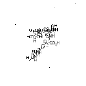 CNC(=O)[C@@H](NC(=O)C[C@H](NC(=O)[C@@H](NC(=O)CC[C@H](NC(=O)c1ccc(NCc2cnc3nc(N)[nH]c(=O)c3n2)cc1)C(=O)O)[C@@H](O)[C@H](O)[C@H](O)CO)C(=O)O)[C@@H](O)[C@H](O)[C@H](O)CO